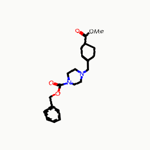 COC(=O)C1CCC(CN2CCN(C(=O)OCc3ccccc3)CC2)CC1